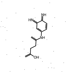 C=C(O)CCC(=C)NC1=CC(=N)C(=N)C=C1